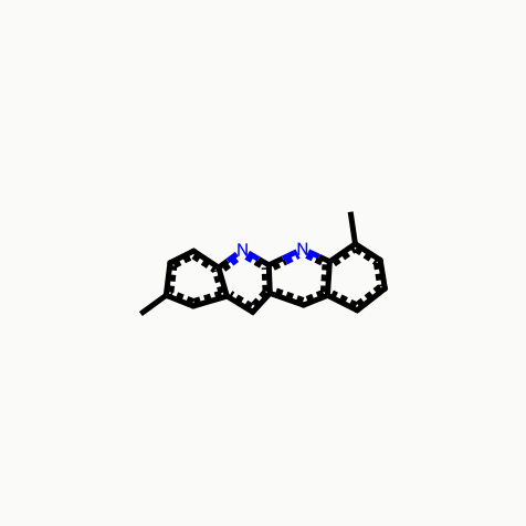 Cc1ccc2nc3nc4c(C)cccc4cc3cc2c1